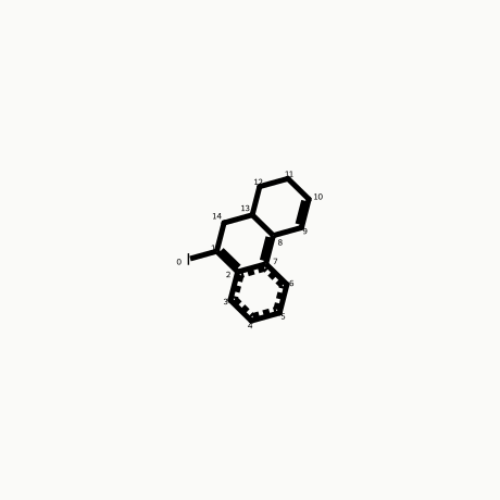 IC1=c2ccccc2=C2C=CCCC2C1